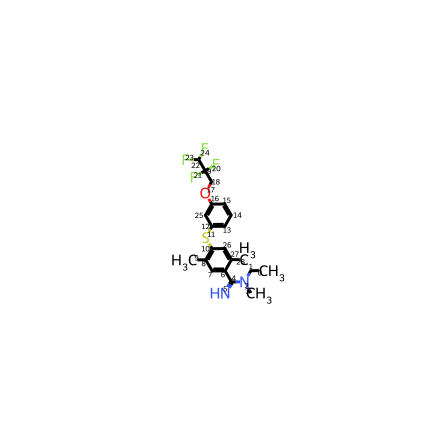 CCN(C)C(=N)c1cc(C)c(Sc2cccc(OCC(F)(F)C(F)F)c2)cc1C